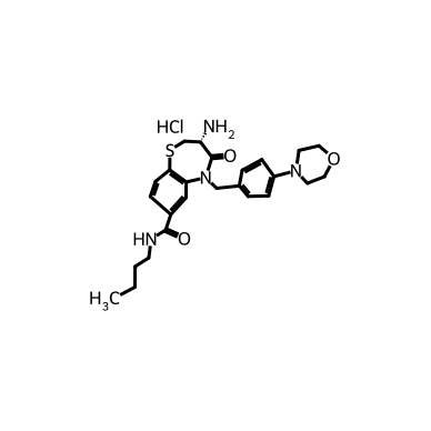 CCCCNC(=O)c1ccc2c(c1)N(Cc1ccc(N3CCOCC3)cc1)C(=O)[C@@H](N)CS2.Cl